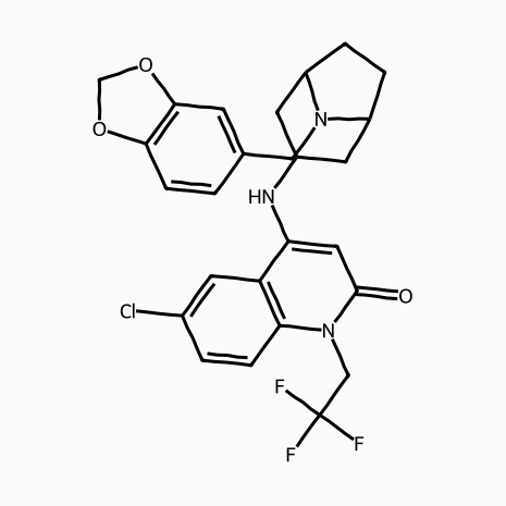 O=c1cc(NC2CC3CCC(C2)N3Cc2ccc3c(c2)OCO3)c2cc(Cl)ccc2n1CC(F)(F)F